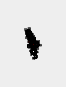 COc1ccc(C(=O)Nc2ccc(N3C4CCC3CN(c3cnc5ccccc5n3)C4)cc2)cc1